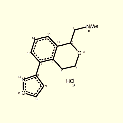 CNCC1OCCc2c(-c3ccon3)cccc21.Cl